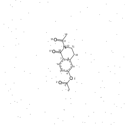 CC(=O)Oc1ccc2c(c1)CCN(C(C)=O)C2=O